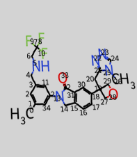 Cc1cc(CNCC(F)(F)F)cc(N2Cc3ccc(C4(Cc5nncn5C)COC4)cc3C2=O)c1